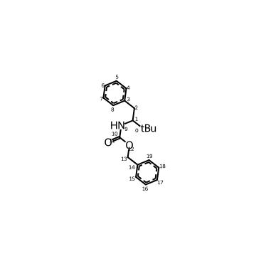 CC(C)(C)C(Cc1ccccc1)NC(=O)OCc1ccccc1